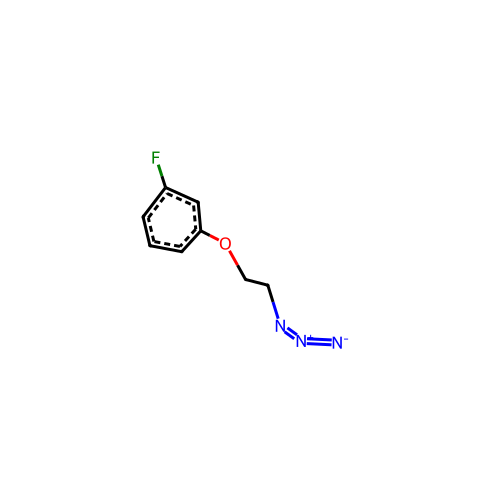 [N-]=[N+]=NCCOc1cccc(F)c1